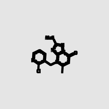 CSc1nc2n(Cc3cccnc3Cl)c(C)cc(=O)n2n1